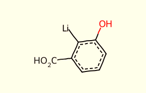 [Li][c]1c(O)cccc1C(=O)O